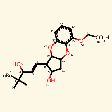 CCCCC(C)(C)C(O)C=CC1C(O)CC2Oc3c(OCC(=O)O)cccc3OC21